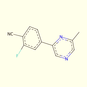 Cc1cncc(-c2ccc(C#N)c(F)c2)n1